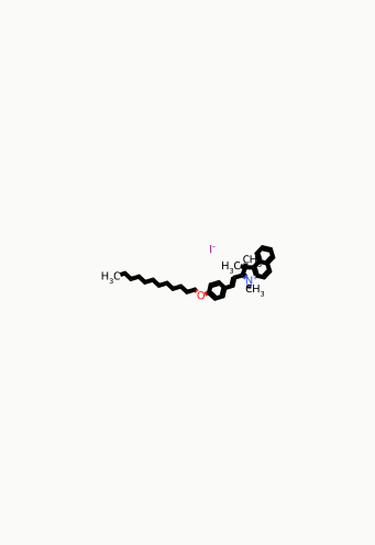 CCCCCCCCCCCCOc1ccc(/C=C/C2=[N+](C)c3ccc4ccccc4c3C2(C)C)cc1.[I-]